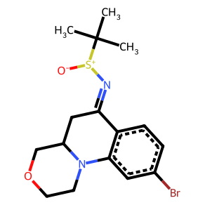 CC(C)(C)[S+]([O-])N=C1CC2COCCN2c2cc(Br)ccc21